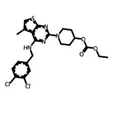 CCOC(=O)OC1CCN(c2nc(NCc3ccc(Cl)c(Cl)c3)c3c(C)csc3n2)CC1